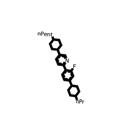 CCCCCC1CCC(c2ccc(-c3ccc(C4CCC(CCC)CC4)cc3F)nc2)CC1